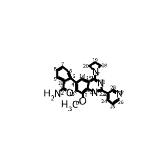 COc1cc(-c2ccccc2C(N)=O)cc2c(N3CCC3)nc(-c3cccnc3)nc12